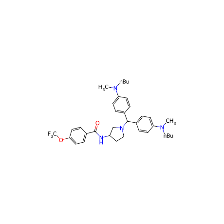 CCCCN(C)c1ccc(C(c2ccc(N(C)CCCC)cc2)N2CCC(NC(=O)c3ccc(OC(F)(F)F)cc3)C2)cc1